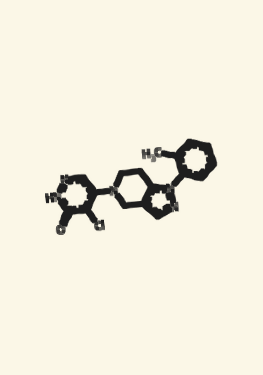 Cc1ccccc1-n1ncc2c1CCN(c1cn[nH]c(=O)c1Cl)C2